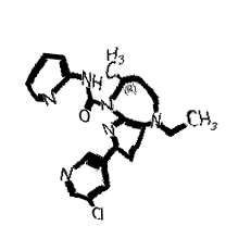 CCN1CC[C@@H](C)N(C(=O)Nc2ccccn2)c2nc(-c3cncc(Cl)c3)ccc21